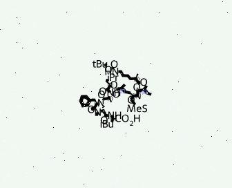 C/C=C(\C)[C@@H](OC(=O)[C@H](C)CCCCNC(=O)OC(C)(C)C)[C@@H](C)[C@H](C/C=C(\C)C(=O)O[C@H](CC(C)C)C(=O)N[C@@H](C)C(=O)N(C)[C@H](Cc1ccccc1)C(=O)N(C)CC(=O)N[C@H](C(=O)O)C(C)CC)OCSC